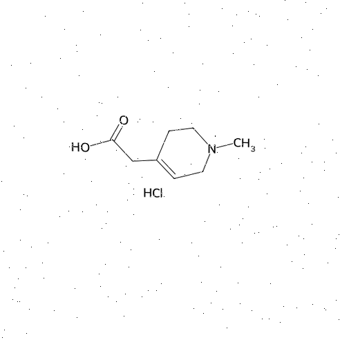 CN1CC=C(CC(=O)O)CC1.Cl